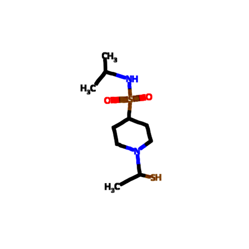 CC(C)NS(=O)(=O)C1CCN(C(C)S)CC1